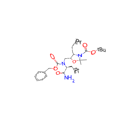 CC(C)CC1C(CN(C(=O)OCc2ccccc2)[C@@H](CC(C)C)C(N)=O)OC(C)(C)N1C(=O)OC(C)(C)C